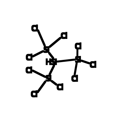 Cl[Si](Cl)(Cl)[SiH]([Si](Cl)(Cl)Cl)[Si](Cl)(Cl)Cl